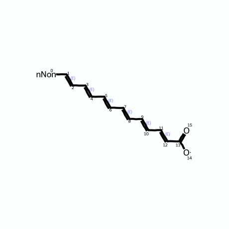 CCCCCCCCC/C=C/C=C/C=C/C=C/C=C/C=C/C([O])=O